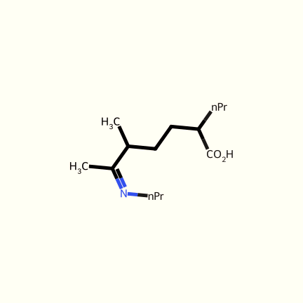 CCCN=C(C)C(C)CCC(CCC)C(=O)O